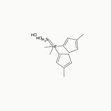 CC1=CC[C]([Hf]([CH3])([CH3])(=[SiH2])[C]2=CC(C)=CC2)=C1.Cl.Cl